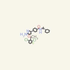 CC(Oc1cc(-c2ccc(C(=O)N[C@H]3C[C@@H]3c3ccccc3)cc2)cnc1N)c1c(Cl)ccc(F)c1Cl